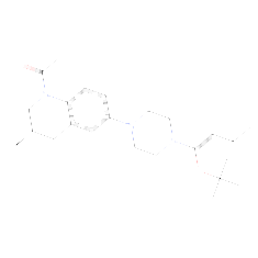 CC/C=C(\OC(C)(C)C)N1CCN(c2ccc3c(c2)C[C@@H](C)[C@H](C)N3C(C)=O)CC1